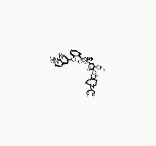 O=C(NS(=O)(=O)c1cnc(OCC2(F)CCN(C(CF)CF)CC2)c(C(F)(F)F)c1)c1ccccc1Oc1cnc2[nH]ccc2c1